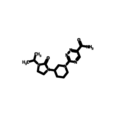 CC(C)N1CCN(C2CCCN(c3ncc(C(N)=O)nn3)C2)C1=O